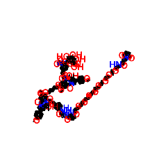 COc1ccc(C2=CN3C(=O)c4cc(OC)c(OCCCCCOc5cc6c(cc5OC)C(=O)N5C=C(c7ccc(OC)cc7)C[C@H]5[C@H](O)N6C(=O)OCc5ccc(O[C@@H]6O[C@H](C(=O)O)[C@@H](O)[C@H](O)[C@H]6O)c([N+](=O)[O-])c5)cc4N(C(=O)OCc4ccc(NC(=O)[C@H](C)NC(=O)[C@@H](NC(=O)CCOCCOCCOCCOCCOCCOCCOCCOCCNC(=O)CCN5C(=O)C=CC5=O)C(C)C)cc4)[C@@H](O)[C@@H]3C2)cc1